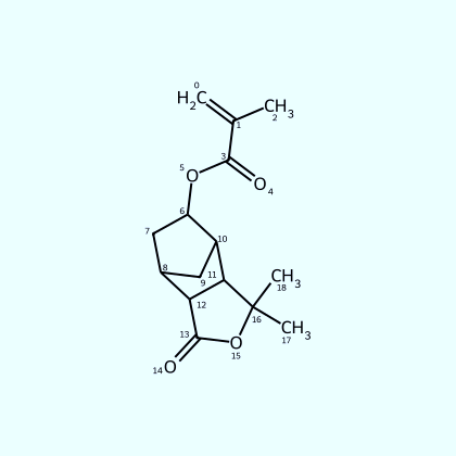 C=C(C)C(=O)OC1CC2CC1C1C2C(=O)OC1(C)C